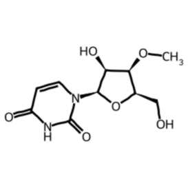 CO[C@@H]1[C@H](O)[C@H](n2ccc(=O)[nH]c2=O)O[C@@H]1CO